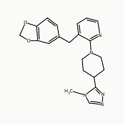 Cn1cnnc1C1CCN(c2ncccc2Cc2ccc3c(c2)OCO3)CC1